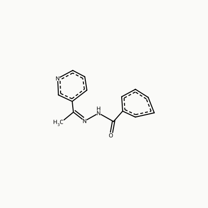 CC(=NNC(=O)c1ccccc1)c1cccnc1